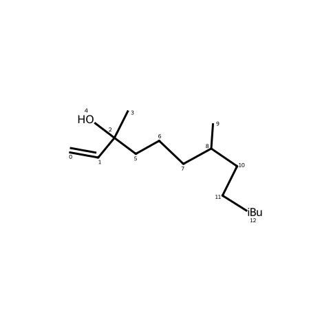 C=CC(C)(O)CCCC(C)CCC(C)CC